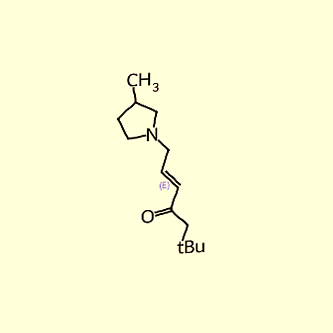 CC1CCN(C/C=C/C(=O)CC(C)(C)C)C1